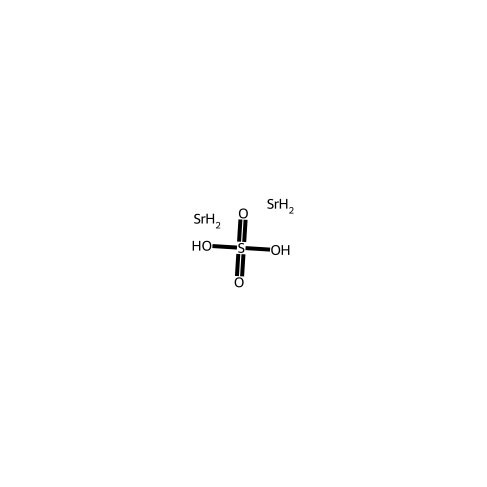 O=S(=O)(O)O.[SrH2].[SrH2]